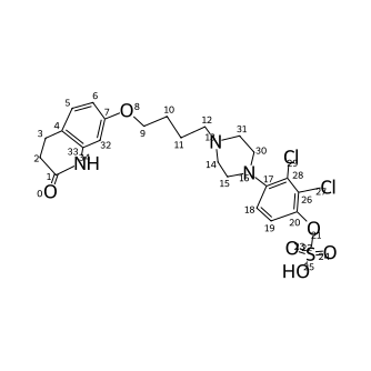 O=C1CCc2ccc(OCCCCN3CCN(c4ccc(OS(=O)(=O)O)c(Cl)c4Cl)CC3)cc2N1